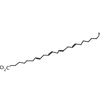 O=C(O)CCCCCCC=CCC=CCC=CCC=CCCCCC[N+](=O)[O-]